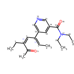 C/C=C(/C=C(/CC)C(C)=O)c1cncc(C(=O)N(CC)CC)c1